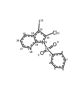 O=S(=O)(c1ccccc1)n1c(Cl)c(I)c2cccnc21